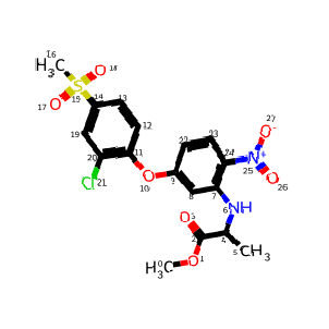 COC(=O)C(C)Nc1cc(Oc2ccc(S(C)(=O)=O)cc2Cl)ccc1[N+](=O)[O-]